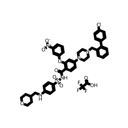 O=C(NS(=O)(=O)c1ccc(NCC2CCOCC2)cc1)c1ccc(N2CCN(Cc3ccccc3-c3ccc(Cl)cc3)CC2)cc1Oc1cccc([N+](=O)[O-])c1.O=C(O)C(F)(F)F